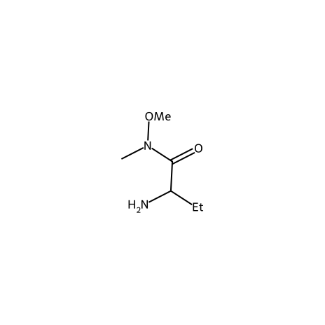 CCC(N)C(=O)N(C)OC